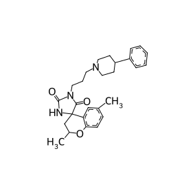 Cc1ccc2c(c1)C1(CC(C)O2)NC(=O)N(CCCN2CCC(c3ccccc3)CC2)C1=O